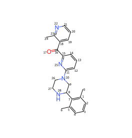 Cc1cccc(C)c1C1CN(c2cccc(C(=O)c3cccnc3C)n2)CCN1